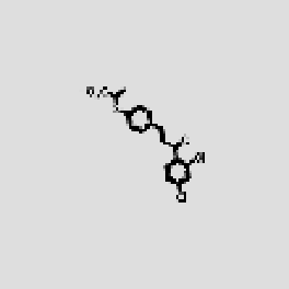 C=C(Sc1ccc(/C=C/C(=O)c2ccc(Cl)cc2O)cc1)C(=O)O